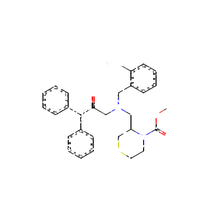 COc1ccccc1CN(CC(=O)C(c1ccccc1)c1ccccc1)CC1CSCCN1C(=O)OC(C)(C)C